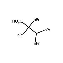 CCCC(CCC)C(CCC)(CCC)C(=O)O